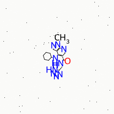 CCn1ncc2c(NC3CCCCC3)c(C(=O)NCc3nnn[nH]3)cnc21